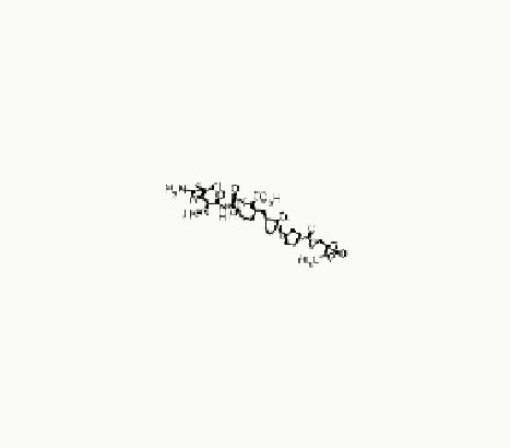 Cc1oc(=O)oc1COC(=O)N1CC[C@@H](N2CCC(=CC3=C(C(=O)O)N4C(=O)[C@@H](NC(=O)C(=NO)c5nc(N)sc5Cl)[C@H]4SC3)C2=O)C1